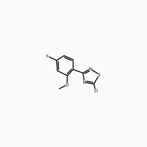 COc1cc(F)ccc1-c1nsc(Cl)n1